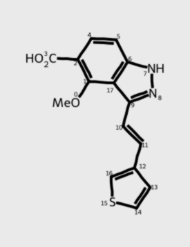 COc1c(C(=O)O)ccc2[nH]nc(C=Cc3ccsc3)c12